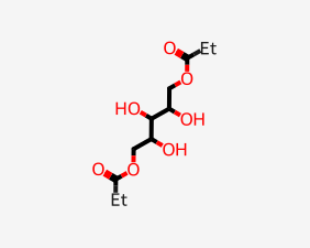 CCC(=O)OCC(O)C(O)C(O)COC(=O)CC